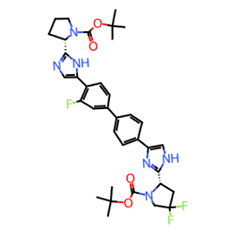 CC(C)(C)OC(=O)N1CC(F)(F)C[C@H]1c1nc(-c2ccc(-c3ccc(-c4cnc([C@@H]5CCCN5C(=O)OC(C)(C)C)[nH]4)c(F)c3)cc2)c[nH]1